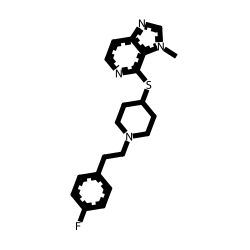 Cn1cnc2ccnc(SC3CCN(CCc4ccc(F)cc4)CC3)c21